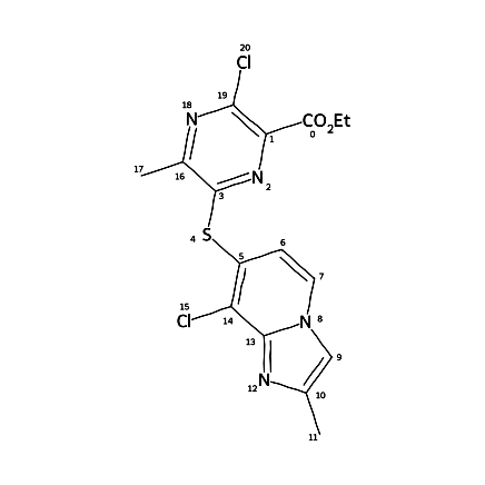 CCOC(=O)c1nc(Sc2ccn3cc(C)nc3c2Cl)c(C)nc1Cl